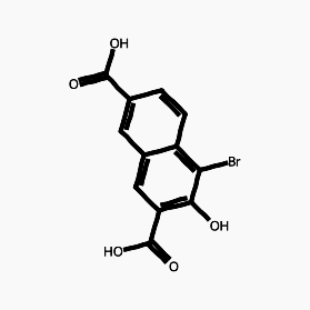 O=C(O)c1ccc2c(Br)c(O)c(C(=O)O)cc2c1